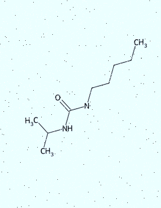 CCCCC[N]C(=O)NC(C)C